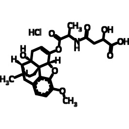 COc1ccc2c3c1O[C@H]1C(OC(=O)C(C)NC(=O)CC(O)C(=O)O)=CC[C@@]4(O)[C@@H](C2)N(C)CC[C@]314.Cl